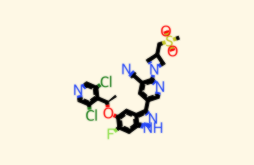 C[C@@H](Oc1cc2c(-c3cnc(N4CC(CS(C)(=O)=O)C4)c(C#N)c3)n[nH]c2cc1F)c1c(Cl)cncc1Cl